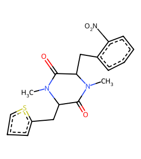 CN1C(=O)C(Cc2ccccc2[N+](=O)[O-])N(C)C(=O)C1Cc1cccs1